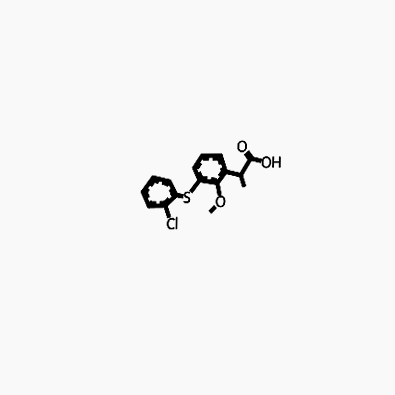 COc1c(Sc2ccccc2Cl)cccc1C(C)C(=O)O